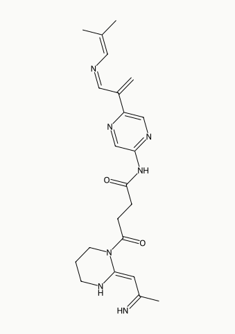 C=C(/C=N\C=C(C)C)c1cnc(NC(=O)CCC(=O)N2CCCN/C2=C\C(C)=N)cn1